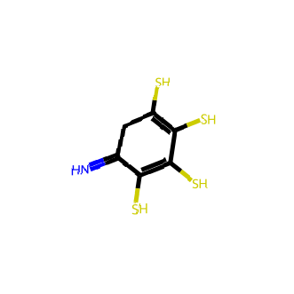 N=C1CC(S)=C(S)C(S)=C1S